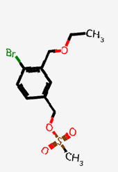 CCOCc1cc(COS(C)(=O)=O)ccc1Br